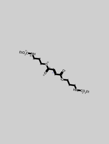 CCOC(=O)NCCCOC(=O)/C=C/C(=O)OCCCNC(=O)OCC